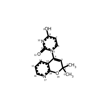 CC1(C)C=C(n2ccc(O)nc2=O)c2cccnc2O1